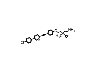 CC(CCN)(CCOc1ccc(C#Cc2ccc(-c3ccc(Cl)cc3)cn2)cc1)C1CC1